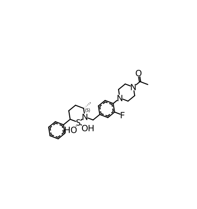 CC(=O)N1CCN(c2ccc(CN3[C@@H](C)CCC(c4ccccc4)S3(O)O)cc2F)CC1